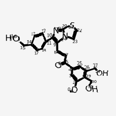 COc1cc(C(=O)/C=C/c2c(-c3ccc(CO)cc3)nc3sccn23)cc(CO)c1CO